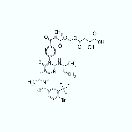 C=CC(C)Nc1nc2c(c(=O)n1-c1ccc(C(=O)N(C)C(=O)OCOC(=O)C[C@@H](O)C(=O)O)cc1)CC(C)N(C(=O)c1ccc(Br)c(C(F)(F)F)c1)C2